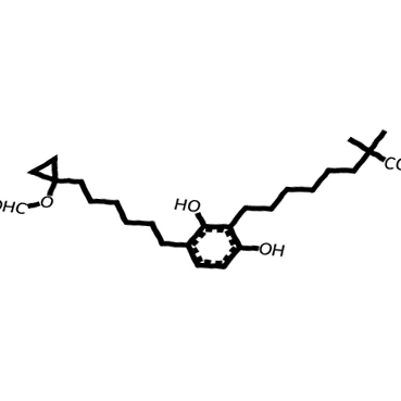 CC(C)(CCCCCCc1c(O)ccc(CCCCCCC2(OC=O)CC2)c1O)C(=O)O